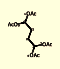 CC(=O)OC(CCC(OC(C)=O)OC(C)=O)OC(C)=O